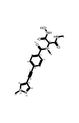 CNC(=O)C(C(=O)NO)N(C)C(=O)c1ccc(C#Cc2cnn(C)c2)cc1